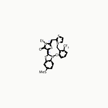 CCn1c(=O)/c(=C2\Sc3cc(SC)ccc3N2C)s/c1=C\c1scc[n+]1Cc1ccccc1C(F)(F)F